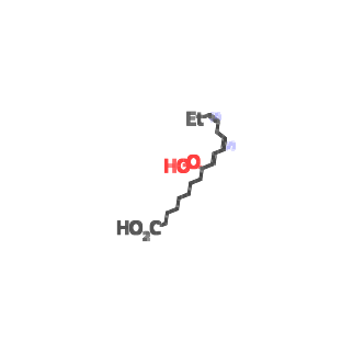 CC/C=C\C/C=C\C=CC(CCCCCCCC(=O)O)OO